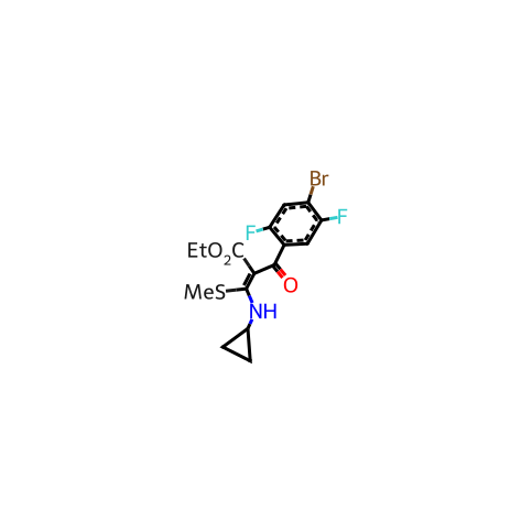 CCOC(=O)/C(C(=O)c1cc(F)c(Br)cc1F)=C(/NC1CC1)SC